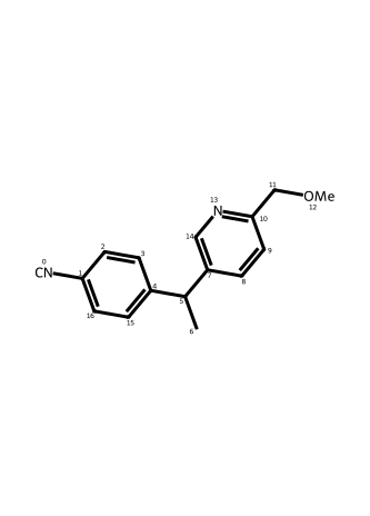 [C-]#[N+]c1ccc(C(C)c2ccc(COC)nc2)cc1